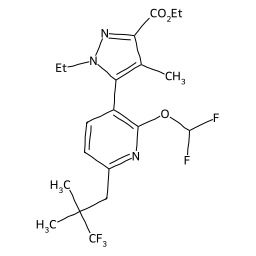 CCOC(=O)c1nn(CC)c(-c2ccc(CC(C)(C)C(F)(F)F)nc2OC(F)F)c1C